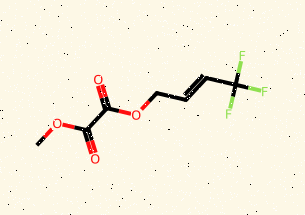 COC(=O)C(=O)OCC=CC(F)(F)F